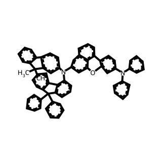 CC1(C)c2ccccc2-c2ccc(N(c3cc4c5c(cccc5c3)-c3ccc(N(c5ccccc5)c5ccccc5)cc3O4)c3cccc4c3-c3ccccc3C4(c3ccccc3)c3ccccc3)cc21